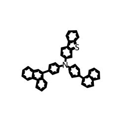 c1ccc2c(-c3ccc(N(c4ccc(-c5cc6ccccc6c6ccccc56)cc4)c4ccc5c(c4)sc4ccccc45)cc3)cccc2c1